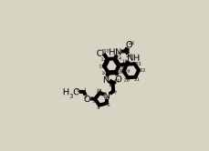 CCOC1CCN(Cc2nc3cc(Cl)c4c(c3o2)C2(CCCCC2)NC(=O)N4)C1